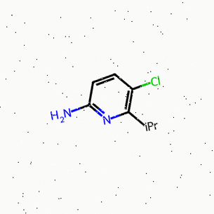 CC(C)c1nc(N)ccc1Cl